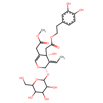 C/C=C1/[C@H](OC2OC(CO)C(O)C(O)C2O)OC=C(CC(=O)OC)[C@@]1(O)CC(=O)OCCc1ccc(O)c(O)c1